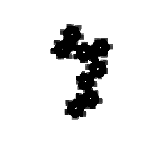 c1cc(-c2cncc(-c3cccc4c3sc3ccccc34)c2)cc(-n2c3ccccc3c3cc(-n4c5ccccc5c5ccccc54)ccc32)c1